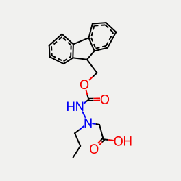 CCCN(CC(=O)O)NC(=O)OCC1c2ccccc2-c2ccccc21